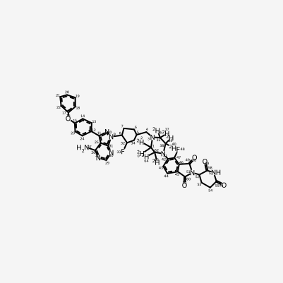 [2H]C1([2H])N(CC2CCC(n3nc(-c4ccc(Oc5ccccc5)cc4)c4c(N)ncnc43)C(F)C2)C([2H])([2H])C([2H])([2H])N(c2ccc3c(c2F)C(=O)N(C2CCC(=O)NC2=O)C3=O)C1([2H])[2H]